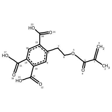 C=C(C)C(=O)OCCc1cc(C(=O)O)c(C(=O)O)cc1C(=O)O